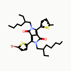 CCCCCC(CC)CN1C(=O)C2=C(c3ccc(C)s3)N(CC(CC)CCCC)C(=O)C2=C1c1ccc(Br)s1